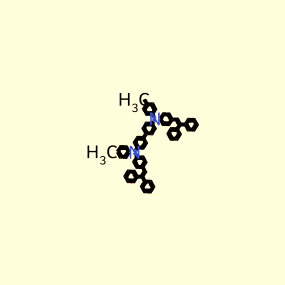 Cc1ccc(N(c2ccc(C=C(c3ccccc3)c3ccccc3)cc2)c2ccc(-c3ccc(N(c4ccc(C)cc4)C4C=CC(C=C(c5ccccc5)c5ccccc5)=CC4)cc3)cc2)cc1